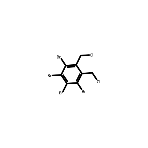 ClCc1c(Br)c(Br)c(Br)c(Br)c1CCl